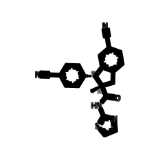 C[C@]1(C(=O)Nc2nccs2)Cc2ccc(C#N)cc2[C@H]1c1ccc(C#N)cc1